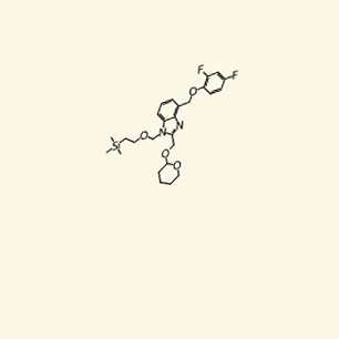 C[Si](C)(C)CCOCn1c(COC2CCCCO2)nc2c(COc3ccc(F)cc3F)cccc21